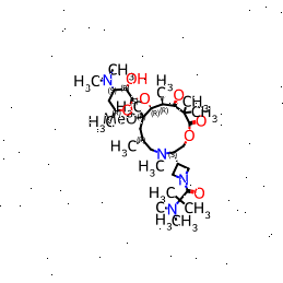 CO[C@]1(C)C[C@@H](C)CN(C)[C@@H](C2CN(C(=O)C(C)(C)N(C)C)C2)COC(=O)C(C)(C)C(=O)[C@H](C)[C@H]1O[C@@H]1O[C@H](C)C[C@H](N(C)C)[C@H]1O